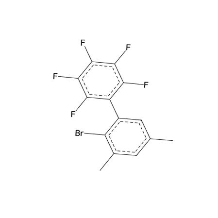 Cc1cc(C)c(Br)c(-c2c(F)c(F)c(F)c(F)c2F)c1